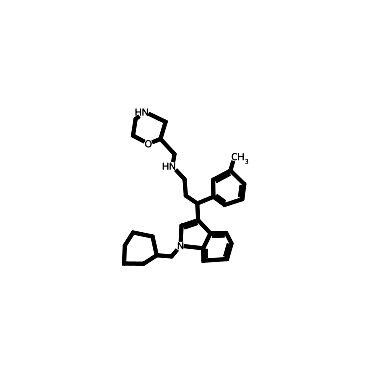 Cc1cccc(C(CCNCC2CNCCO2)c2cn(CC3CCCCC3)c3ccccc23)c1